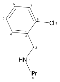 CC(C)NCc1ccccc1Cl